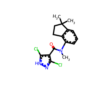 CN(C(=O)c1c(Cl)n[nH]c1Cl)c1cccc2c1CCC2(C)C